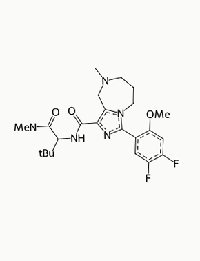 CNC(=O)C(NC(=O)c1nc(-c2cc(F)c(F)cc2OC)n2c1CN(C)CCC2)C(C)(C)C